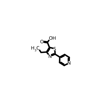 CCc1nc(-c2ccncc2)sc1C(=O)O